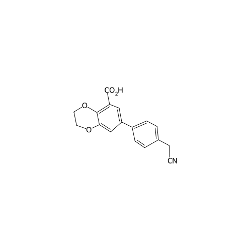 N#CCc1ccc(-c2cc3c(c(C(=O)O)c2)OCCO3)cc1